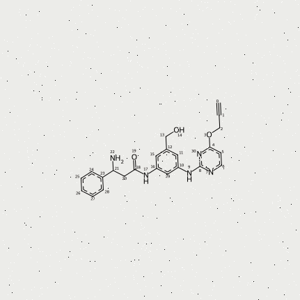 C#CCOc1ccnc(Nc2cc(CO)cc(NC(=O)CC(N)c3ccccc3)c2)n1